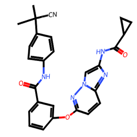 CC(C)(C#N)c1ccc(NC(=O)c2cccc(Oc3ccc4nc(NC(=O)C5CC5)cn4n3)c2)cc1